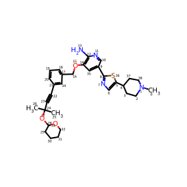 CN1CCC(c2cnc(-c3cnc(N)c(OCc4cccc(C#CC(C)(C)OC5CCCCO5)c4)c3)s2)CC1